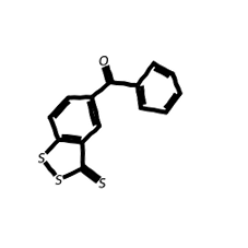 O=C(c1ccccc1)c1ccc2ssc(=S)c2c1